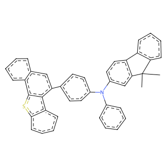 CC1(C)c2ccccc2-c2ccc(N(c3ccccc3)c3ccc(-c4cc5ccccc5c5sc6ccccc6c45)cc3)cc21